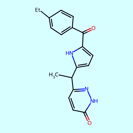 CCc1ccc(C(=O)c2ccc(C(C)c3ccc(=O)[nH]n3)[nH]2)cc1